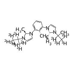 [2H]C([2H])([2H])C([2H])(C)N1C=CN(c2cccc(N3C=CN(C([2H])(C([2H])([2H])[2H])C([2H])([2H])[2H])[C@H]3C)c2C)[C@H]1C